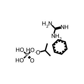 CC(C)[O].N=C(N)N.O=P(O)(O)O.c1ccccc1